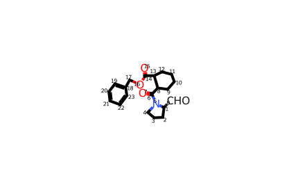 O=CC1CCCN1C(=O)C1CCCCC1C(=O)OCc1ccccc1